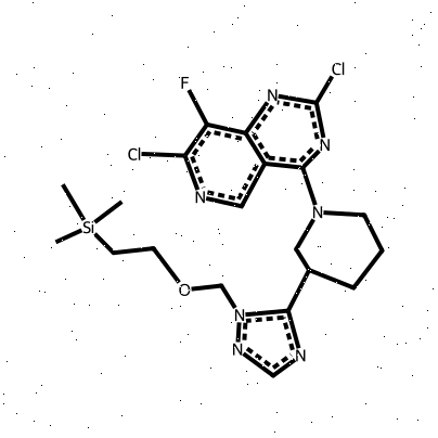 C[Si](C)(C)CCOCn1ncnc1C1CCCN(c2nc(Cl)nc3c(F)c(Cl)ncc23)C1